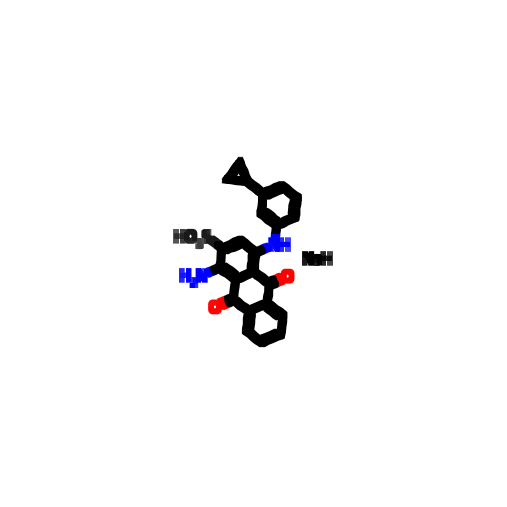 Nc1c(S(=O)(=O)O)cc(Nc2cccc(C3CC3)c2)c2c1C(=O)c1ccccc1C2=O.[NaH]